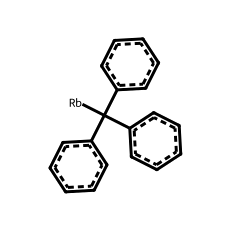 [Rb][C](c1ccccc1)(c1ccccc1)c1ccccc1